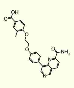 Cc1cc(C(=O)O)ccc1OCCOc1ccc(-c2cncc3ccc(C(N)=O)nc23)cc1